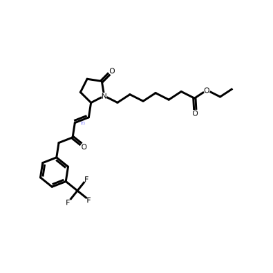 CCOC(=O)CCCCCCN1C(=O)CCC1/C=C/C(=O)Cc1cccc(C(F)(F)F)c1